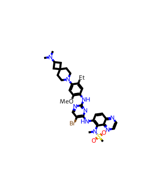 CCc1cc(Nc2ncc(Br)c(Nc3ccc4nccnc4c3N(C)S(C)(=O)=O)n2)c(OC)cc1N1CCC2(CC1)CC(N(C)C)C2